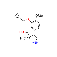 COc1ccc(C2CNCC2(C)CO)cc1OCC1CC1